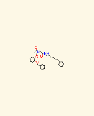 O=C(CN1C(=O)CC1Oc1ccccc1OCc1ccccc1)NCCCCCCc1ccccc1